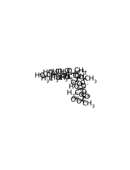 CC(=O)C(C)O.CC(=O)OC(C)C(=O)[O-].CC(O)C(=O)[O-].CC(O)C(=O)[O-].CC(O)C(C)O.CC(OC=O)C(=O)[O-].CCO.[C+4]